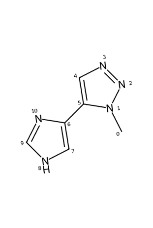 Cn1nncc1-c1c[nH]cn1